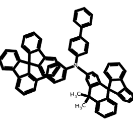 CC1(C)c2ccccc2C2(c3ccccc3-c3ccccc32)c2ccc(N(c3ccc(-c4ccccc4)cc3)c3ccc(-c4cccc5c4C4(c6ccccc6-c6ccccc64)c4ccccc4-5)cc3)cc21